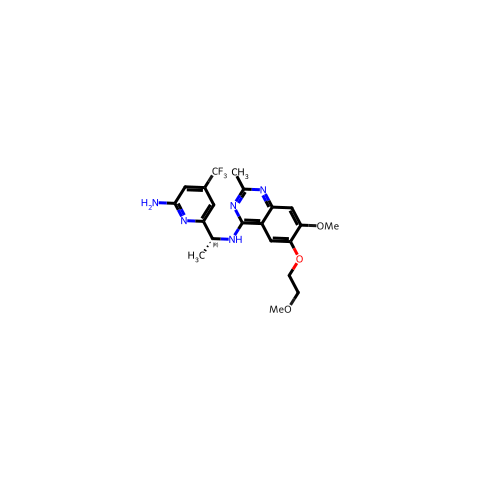 COCCOc1cc2c(N[C@H](C)c3cc(C(F)(F)F)cc(N)n3)nc(C)nc2cc1OC